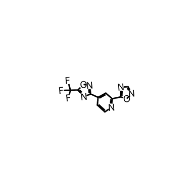 FC(F)(F)c1nc(-c2ccnc(-c3ncno3)c2)no1